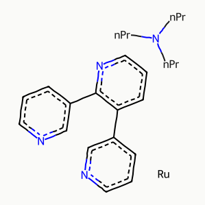 CCCN(CCC)CCC.[Ru].c1cncc(-c2cccnc2-c2cccnc2)c1